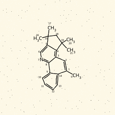 Cc1cc2c3c(cnc2c2ccccc12)C(C)(C)CC3(C)C